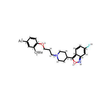 COc1cc(C(C)=O)ccc1OCCCN1CCC(c2onc3cc(F)ccc23)CC1